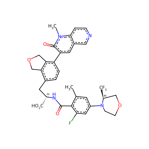 Cc1cc(N2CCOC[C@@H]2C(F)(F)F)cc(F)c1C(=O)N[C@@H](Cc1ccc(-c2cc3cnccc3n(C)c2=O)c2c1COC2)C(=O)O